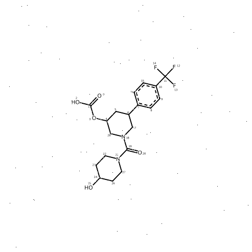 O=C(O)OC1CC(c2ccc(C(F)(F)F)cc2)CN(C(=O)N2CCC(O)CC2)C1